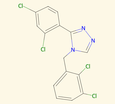 Clc1ccc(-c2nncn2Cc2cccc(Cl)c2Cl)c(Cl)c1